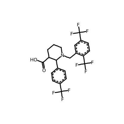 O=C(O)C1CCCN(Cc2cc(C(F)(F)F)ccc2C(F)(F)F)C1c1ccc(C(F)(F)F)cc1